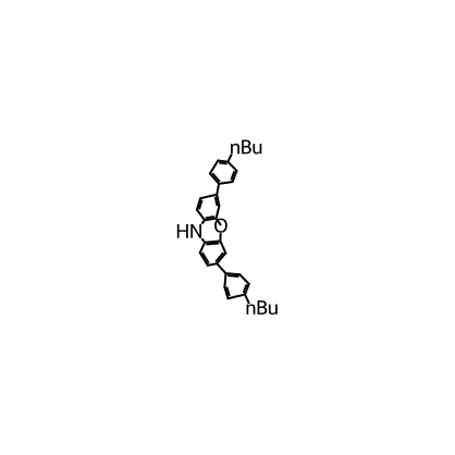 CCCCc1ccc(-c2ccc3c(c2)Oc2cc(-c4ccc(CCCC)cc4)ccc2N3)cc1